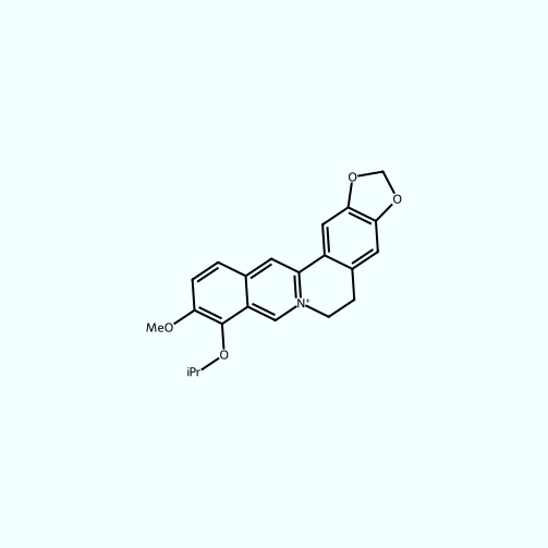 COc1ccc2cc3[n+](cc2c1OC(C)C)CCc1cc2c(cc1-3)OCO2